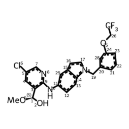 CO[C@H](O)c1cc(Cl)cnc1Nc1ccc2c(ccn2Cc2cccc(OCC(F)(F)F)c2)c1